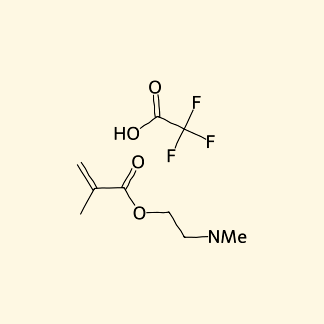 C=C(C)C(=O)OCCNC.O=C(O)C(F)(F)F